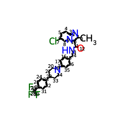 Cc1nc2ccc(Cl)cn2c1C(=O)NCc1ccc(N2CCC(c3ccc(C(F)(F)F)cc3)CC2)cc1